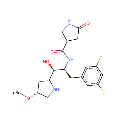 CCCCO[C@H]1CN[C@@H]([C@@H](O)[C@H](Cc2cc(F)cc(F)c2)NC(=O)C2CNC(=O)C2)C1